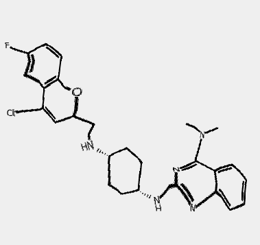 CN(C)c1nc(N[C@H]2CC[C@@H](NCC3C=C(Cl)c4cc(F)ccc4O3)CC2)nc2ccccc12